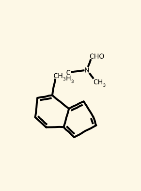 CN(C)C=O.Cc1cccc2ccccc12